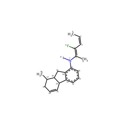 C/C=C\C(F)=C(/C)N(I)c1cccc2c1CC1C(C)CC=CC21